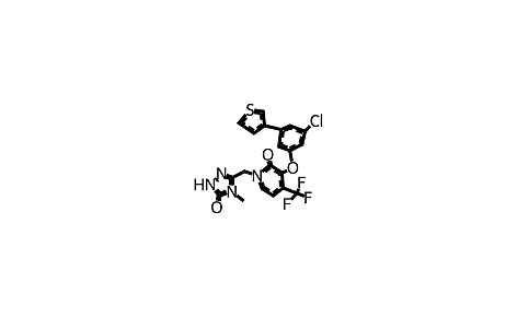 Cn1c(Cn2ccc(C(F)(F)F)c(Oc3cc(Cl)cc(-c4ccsc4)c3)c2=O)n[nH]c1=O